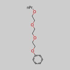 CCCOCCOCCOCCOc1ccccc1